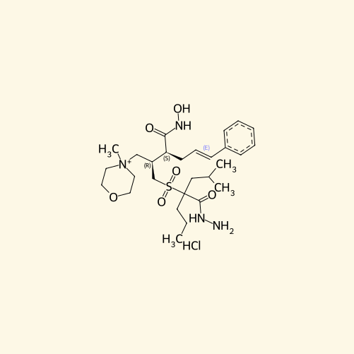 CCCC(CC(C)C)(C(=O)NN)S(=O)(=O)C[C@@H](C[N+]1(C)CCOCC1)[C@H](C/C=C/c1ccccc1)C(=O)NO.Cl